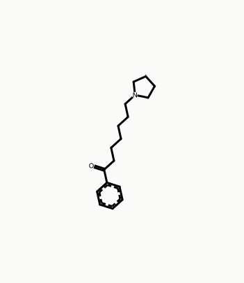 O=C(CCCCCCN1C[CH]CC1)c1ccccc1